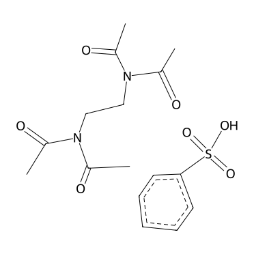 CC(=O)N(CCN(C(C)=O)C(C)=O)C(C)=O.O=S(=O)(O)c1ccccc1